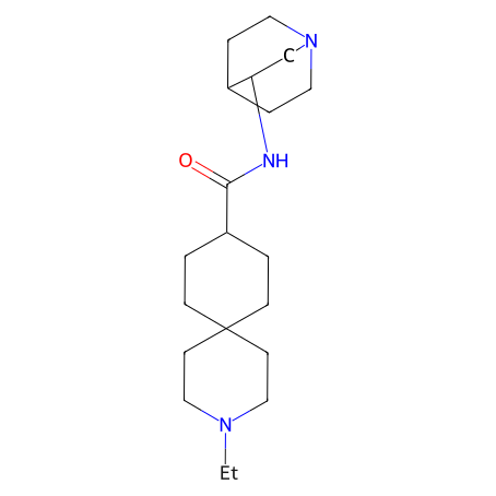 CCN1CCC2(CCC(C(=O)NC3CN4CCC3CC4)CC2)CC1